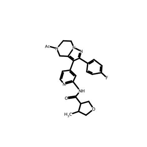 CC(=O)N1CCn2nc(-c3ccc(F)cc3)c(-c3ccnc(NC(=O)C4COCC4C)c3)c2C1